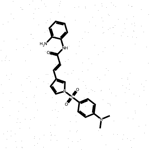 CN(C)c1ccc(S(=O)(=O)n2ccc(C=CC(=O)Nc3ccccc3N)c2)cc1